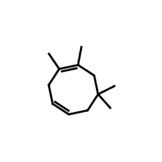 CC1=C(C)CC(C)(C)CC=CC1